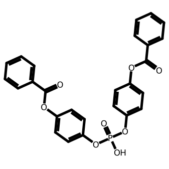 O=C(Oc1ccc(OP(=O)(O)Oc2ccc(OC(=O)c3ccccc3)cc2)cc1)c1ccccc1